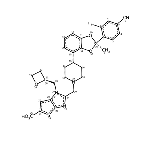 C[C@@]1(c2ccc(C#N)cc2F)Oc2cccc(C3CCN(Cc4nc5sc(C(=O)O)cc5n4C[C@@H]4CCO4)CC3)c2O1